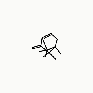 C=C1C2=CCC(C)(C1(C)C)C2(C)C